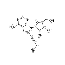 Nc1ncnc2c1cc(C#CCO)n2C1OC(CO)C(O)C1O